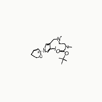 CN(CCN(C)C(=O)OC(C)(C)C)Cc1cn([C@H]2CCCCO2)cc1I